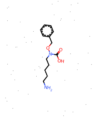 NCCCCCN(OCc1ccccc1)C(=O)O